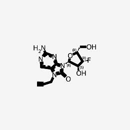 C#CCn1c(=O)n([C@@H]2O[C@H](CO)[C@H](F)[C@H]2O)c2nc(N)ncc21